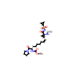 CC(C)(C)OC(=O)N[C@@H](CCCCC/C=C\[C@@H]1C[C@]1(NC=O)C(=O)NS(=O)(=O)C1CC1)C(=O)N1CCCC1